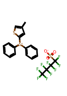 Cc1csc([S+](c2ccccc2)c2ccccc2)c1.O=S(=O)([O-])C(F)(F)C(F)(F)C(F)(F)C(F)(F)F